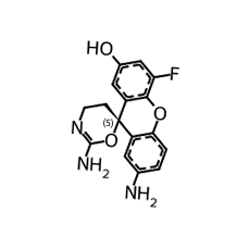 NC1=NCC[C@]2(O1)c1cc(N)ccc1Oc1c(F)cc(O)cc12